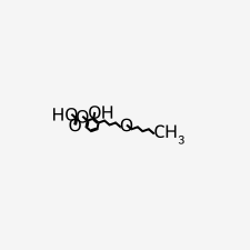 CCCCCCOCCCCc1cccc(OC(=O)O)c1O